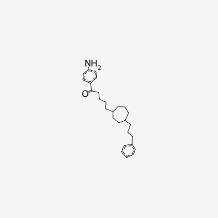 Nc1ccc(C(=O)CCCCC2CCCC(CCCc3ccccc3)CC2)cc1